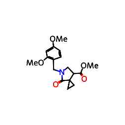 COC(=O)C1CN(Cc2ccc(OC)cc2OC)C(=O)C12CC2